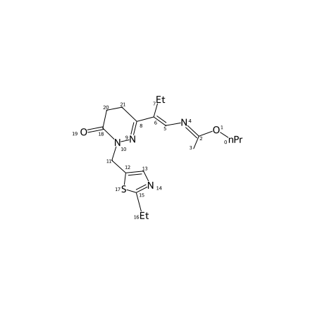 CCCO/C(C)=N/C=C(\CC)C1=NN(Cc2cnc(CC)s2)C(=O)CC1